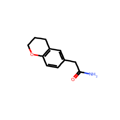 NC(=O)Cc1ccc2c(c1)CCCO2